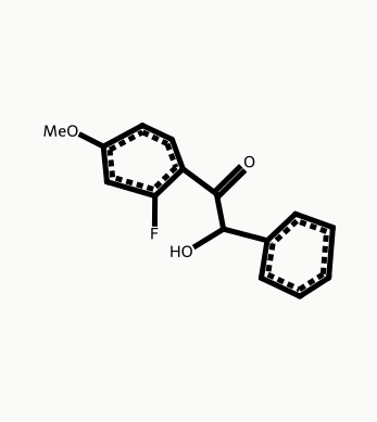 COc1ccc(C(=O)C(O)c2ccccc2)c(F)c1